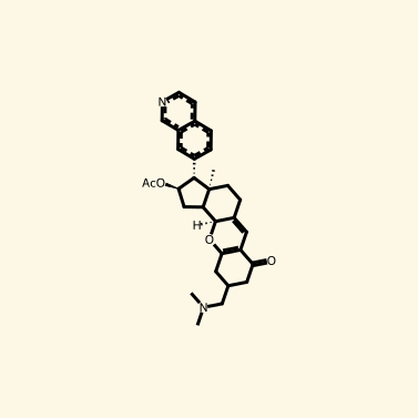 CC(=O)O[C@@H]1CC2[C@@H]3OC4=C(C=C3CC[C@]2(C)[C@H]1c1ccc2ccncc2c1)C(=O)CC(CN(C)C)C4